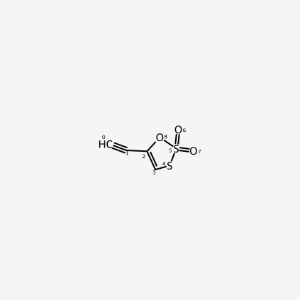 C#CC1=CSS(=O)(=O)O1